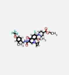 CCOC(=O)C1CCN(c2c(F)cc3c(=O)c(C(=O)NCc4ccc(OC(F)(F)F)cc4C)cn(C4CCC4)c3c2OC)CC1